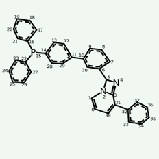 C1=CN2C(=NC2c2cccc(-c3ccc(P(c4ccccc4)c4ccccc4)cc3)c2)C(c2ccccc2)=C1